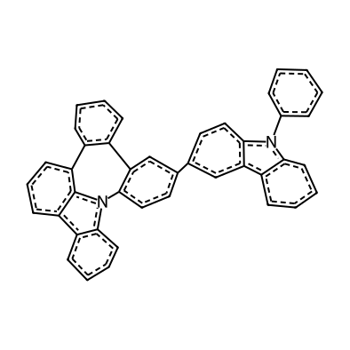 c1ccc(-n2c3ccccc3c3cc(-c4ccc5c(c4)-c4ccccc4-c4cccc6c7ccccc7n-5c46)ccc32)cc1